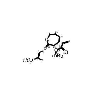 C=CC(=O)OCCCC.CC=C(C)C(=O)O.O=C1CCCCCO1